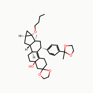 CCCCO[C@@]12C[C@@H]1C[C@H]1[C@@H]3CC[C@@]4(O)CC5(CCC4=C3[C@@H](c3ccc(C4(C)OCCO4)cc3)C[C@@]12C)OCCO5